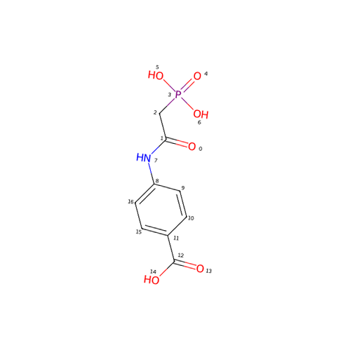 O=C(CP(=O)(O)O)Nc1ccc(C(=O)O)cc1